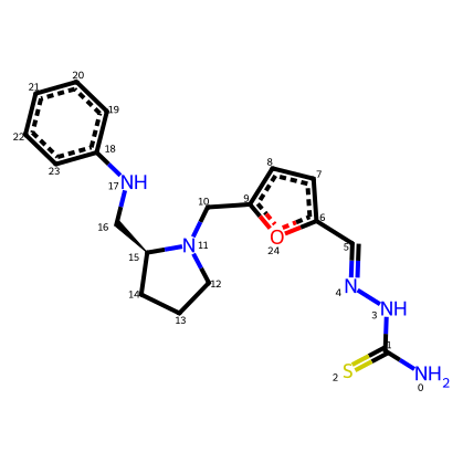 NC(=S)NN=Cc1ccc(CN2CCC[C@H]2CNc2ccccc2)o1